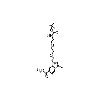 Cc1nn(CCOCCOCCNC(=O)OC(C)(C)C)c2cc(C(N)=O)ccc12